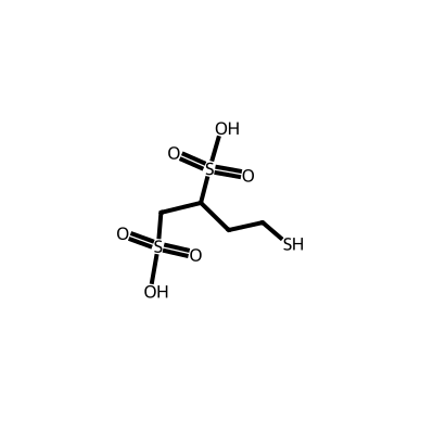 O=S(=O)(O)CC(CCS)S(=O)(=O)O